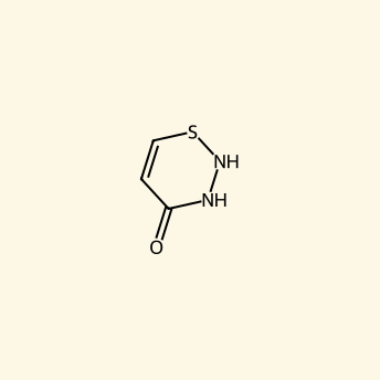 O=C1C=CSNN1